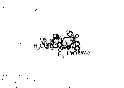 C/C=C/c1ccc(-c2nc(C(=O)N3CCOCC3(C)CCC(C)Oc3cc4c(cc3OC)CCc3c(C(=O)N5CCOCC5(C)C)nc(-c5sccc5C)n3-4)c3n2-c2cc(OC(C)C)c(OC)cc2CC3)s1